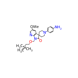 COc1cnc2c(c1)C1(CCN(c3ccc(N)cc3)CC1)C(=O)N2COCC[Si](C)(C)C